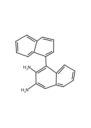 Nc1cc2ccccc2c(-c2cccc3ccccc23)c1N